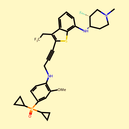 COc1cc(P(=O)(C2CC2)C2CC2)ccc1NCC#Cc1sc2c(N[C@H]3CCN(C)C[C@H]3F)cccc2c1CC(F)(F)F